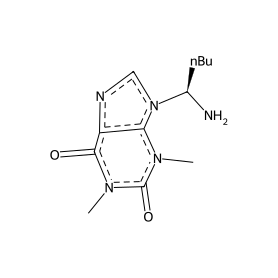 CCCC[C@@H](N)n1cnc2c(=O)n(C)c(=O)n(C)c21